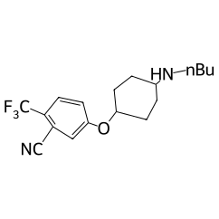 CCCCNC1CCC(Oc2ccc(C(F)(F)F)c(C#N)c2)CC1